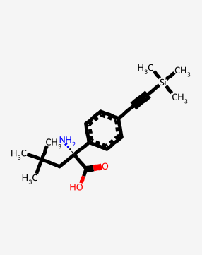 CC(C)(C)C[C@](N)(C(=O)O)c1ccc(C#C[Si](C)(C)C)cc1